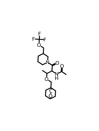 CC(=O)NC(C(=O)N1CCCC(COC(F)(F)F)C1)C(C)OCC12CCC(CC1)OC2